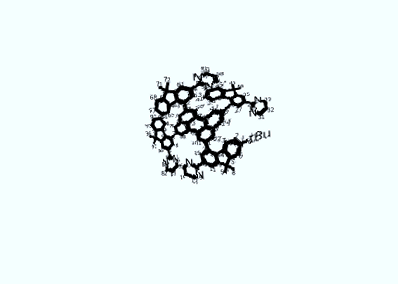 CC(C)(C)c1ccc2c(c1)C(C)(C)c1cc(-c3ncccn3)cc(-c3cc4cc(-c5cc(-c6ncccn6)cc6c5-c5ccccc5C6(C)C)cc5c6cc(-c7cc(-c8ncccn8)cc8c7-c7ccccc7C8(C)C)cc7cc(-c8cc(-c9ncccn9)cc9c8-c8ccccc8C9(C)C)cc(c(c3)c45)c76)c1-2